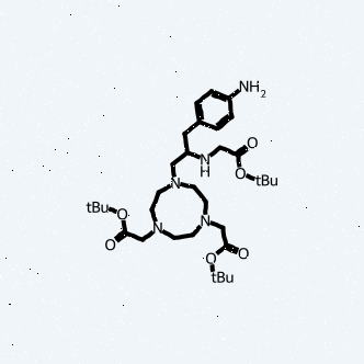 CC(C)(C)OC(=O)CNC(Cc1ccc(N)cc1)CN1CCN(CC(=O)OC(C)(C)C)CCN(CC(=O)OC(C)(C)C)CC1